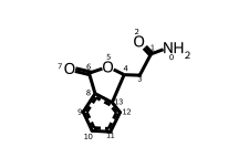 NC(=O)CC1OC(=O)c2ccccc21